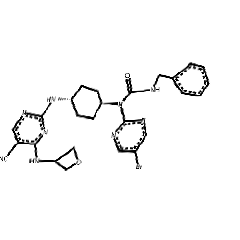 N#Cc1cnc(N[C@H]2CC[C@H](N(C(=O)NCc3ccccc3)c3ncc(Br)cn3)CC2)nc1NC1COC1